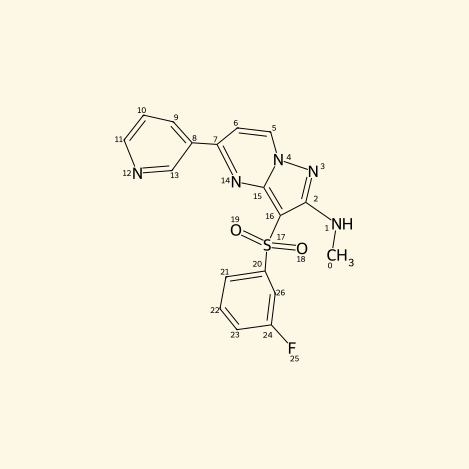 CNc1nn2ccc(-c3cccnc3)nc2c1S(=O)(=O)c1cccc(F)c1